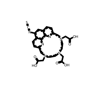 O=C(O)Cn1ccn(CC(=O)O)cc2ccc3cc(N=C=S)c4ccc(cn(CC(=O)O)cc1)nc4c3n2